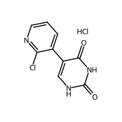 Cl.O=c1[nH]cc(-c2cccnc2Cl)c(=O)[nH]1